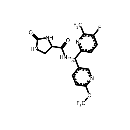 O=C1NCC(C(=O)N[C@@H](c2ccc(OC(F)(F)F)nc2)c2ccc(F)c(C(F)(F)F)n2)N1